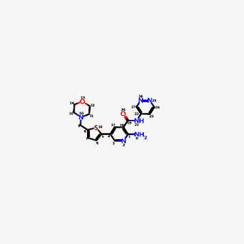 Nc1ncc(-c2ccc(CN3CCOCC3)s2)cc1C(=O)Nc1ccnnc1